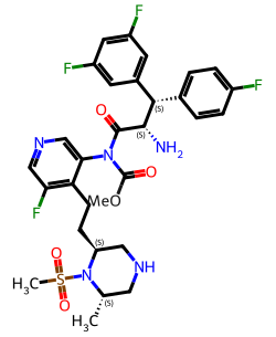 COC(=O)N(C(=O)[C@@H](N)[C@@H](c1ccc(F)cc1)c1cc(F)cc(F)c1)c1cncc(F)c1CC[C@H]1CNC[C@H](C)N1S(C)(=O)=O